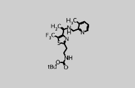 C=C(NCc1ncccc1C)c1nc(CCNC(=O)OC(C)(C)C)sc1C(F)(F)F